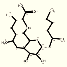 CCCCC(C)CC1C(COCC(=O)O)O[C@H](CC(C)CCCC)C(O)C1O